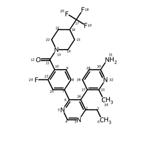 CCc1ncnc(-c2ccc(C(=O)N3CCC(C(F)(F)F)CC3)c(F)c2)c1-c1ccc(N)nc1C